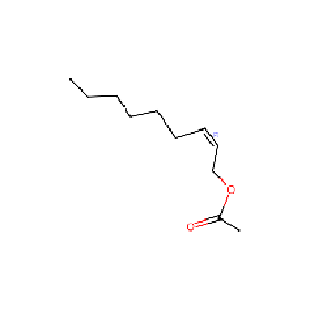 CCCCCC/C=C\COC(C)=O